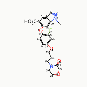 Cn1ncc2cc(C(=O)O)c(Oc3ccc(OCCCN4CCOCC4=O)cc3F)cc21